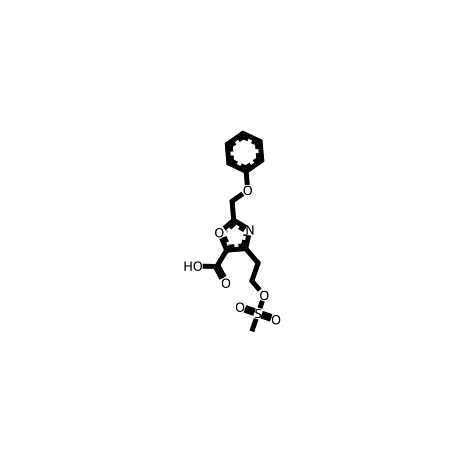 CS(=O)(=O)OCCc1nc(COc2ccccc2)oc1C(=O)O